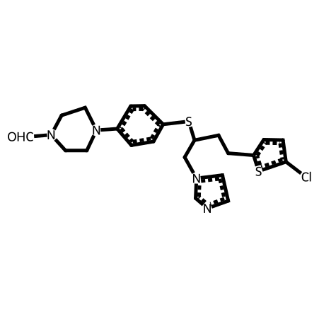 O=CN1CCN(c2ccc(SC(CCc3ccc(Cl)s3)Cn3ccnc3)cc2)CC1